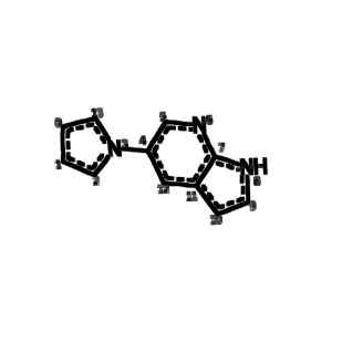 c1ccn(-c2cnc3[nH]ccc3c2)c1